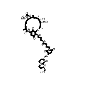 CO[C@H]1/C=C\C=C(/C)C(=O)NC2=CC(=O)C(NCCCNC(=O)CCCN3C(=O)CC(SC[C@H]4CCN5CC[C@H](CO)N=C5N4)C3=O)=C(C[C@@H](C)C[C@H](OC)[C@H](O)[C@@H](C)/C=C(\C)[C@@H]1OC(N)=O)C2=O